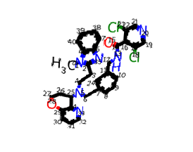 Cn1c(CCN(Cc2cccc(CNC(=O)c3c(Cl)cncc3Cl)c2)C2CCOc3cccnc32)nc2ccccc21